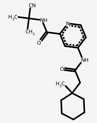 CC1(CC(=O)Nc2ccnc(C(=O)NC(C)(C)C#N)c2)CCCCC1